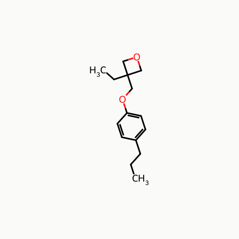 CCCc1ccc(OCC2(CC)COC2)cc1